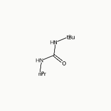 CCCNC(=O)NC(C)(C)C